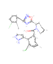 Cc1c(F)cccc1-c1noc(C2CCCN2C(=O)c2cccc(F)c2-c2ccn[nH]2)n1